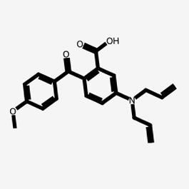 C=CCN(CC=C)c1ccc(C(=O)c2ccc(OC)cc2)c(C(=O)O)c1